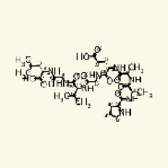 CC(C)C[C@H](NC(=O)CNC(=O)[C@@H](NC(=O)CNC(=O)[C@H](CCC(=O)O)NC(=O)[C@H](C)NC(=O)[C@H](C)NC(=O)[C@@H]1CCCN1)C(C)C)C(=O)O